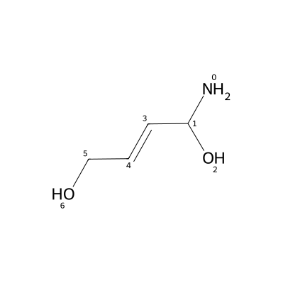 NC(O)C=CCO